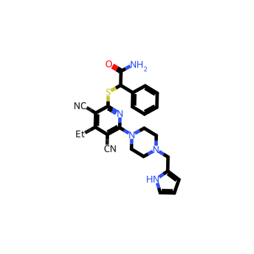 CCc1c(C#N)c(SC(C(N)=O)c2ccccc2)nc(N2CCN(Cc3ccc[nH]3)CC2)c1C#N